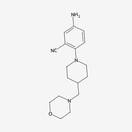 N#Cc1cc(N)ccc1N1CCC(CN2CCOCC2)CC1